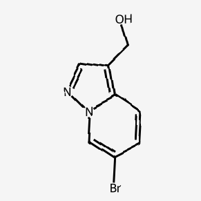 OCc1cnn2cc(Br)ccc12